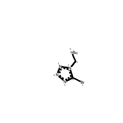 CCCCCn1nnnc1Br